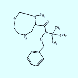 CN1CCNCCNCC1C(=O)N(OCc1ccccc1)C(C)(C)C